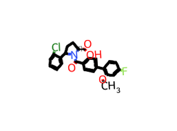 COc1cc(F)ccc1-c1ccc(C(=O)N2C(c3ccccc3Cl)CC[C@H]2C(=O)O)cc1